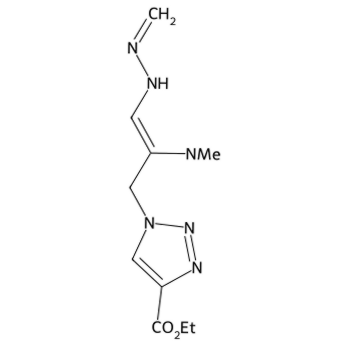 C=NN/C=C(/Cn1cc(C(=O)OCC)nn1)NC